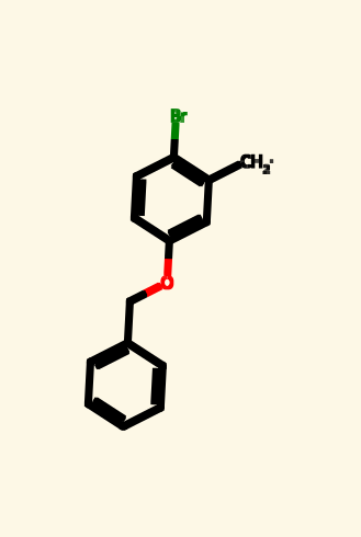 [CH2]c1cc(OCc2ccccc2)ccc1Br